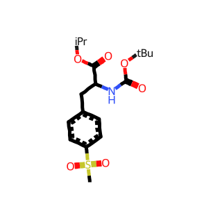 CC(C)OC(=O)C(Cc1ccc(S(C)(=O)=O)cc1)NC(=O)OC(C)(C)C